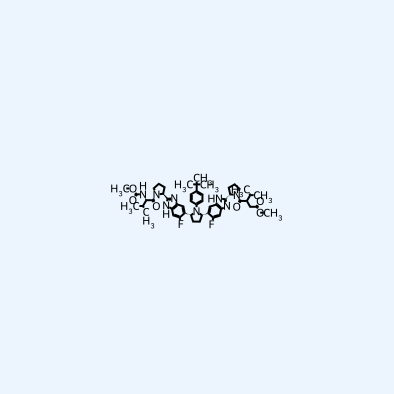 COC(=O)CC(C(=O)N1CCC[C@H]1c1nc2cc(F)c([C@@H]3CC[C@H](c4cc5nc([C@@H]6CCCN6C(=O)[C@@H](NC(=O)OC)C(C)C)[nH]c5cc4F)N3c3ccc(C(C)(C)C)cc3)cc2[nH]1)C(C)C